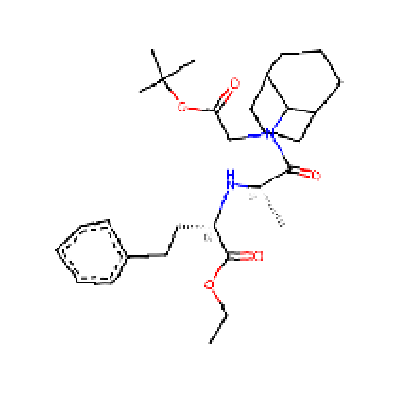 CCOC(=O)[C@H](CCc1ccccc1)N[C@@H](C)C(=O)N(CC(=O)OC(C)(C)C)C1C2CCCC1CCC2